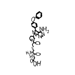 Nc1ncnc2c1c(-c1ccc(Oc3ccccc3)cc1)nn2C1CCCN(C(=O)CCSCC(N)C(=O)NCC(=O)O)C1